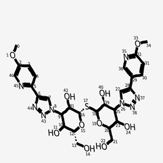 COc1ccc(-c2cn(C3C(O)[C@@H](CO)O[C@@H](SC4OC(CO)C(O)C(n5cc(-c6ccc(OC)nc6)nn5)[C@@H]4O)C3O)nn2)nc1